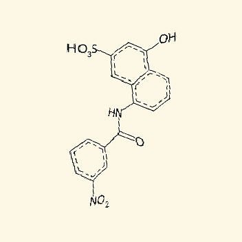 O=C(Nc1cccc2c(O)cc(S(=O)(=O)O)cc12)c1cccc([N+](=O)[O-])c1